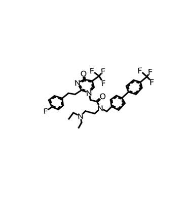 CCN(CC)CCN(Cc1ccc(-c2ccc(C(F)(F)F)cc2)cc1)C(=O)Cn1cc(C(F)(F)F)c(=O)nc1CCc1ccc(F)cc1